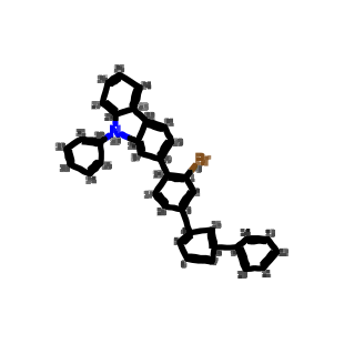 Brc1cc(-c2cccc(-c3ccccc3)c2)ccc1-c1ccc2c3ccccc3n(-c3ccccc3)c2c1